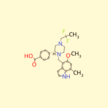 COc1cc(C)c2[nH]ccc2c1CN1CCN(CC(C)(F)F)C[C@H]1c1ccc(C(=O)O)cc1